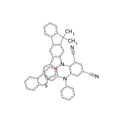 CC1(C)c2ccccc2-c2cc3c4cc5c(cc4n(-c4c(C#N)cc(C#N)cc4N(c4ccccc4)c4ccccc4)c3cc21)sc1ccccc15